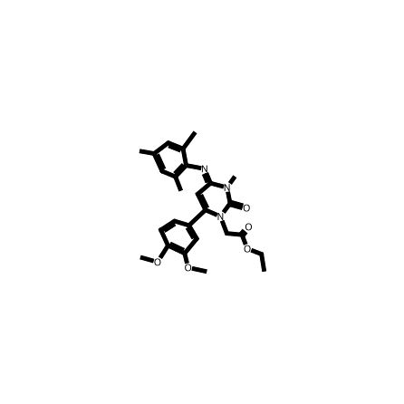 CCOC(=O)Cn1c(-c2ccc(OC)c(OC)c2)cc(=Nc2c(C)cc(C)cc2C)n(C)c1=O